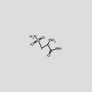 [NH]C(=O)C(N)CS(N)(=O)=O